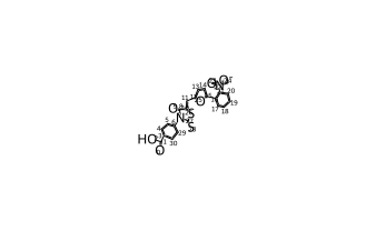 O=C(O)c1ccc(N2C(=O)C(=Cc3ccc(-c4ccccc4[N+](=O)[O-])o3)SC2=S)cc1